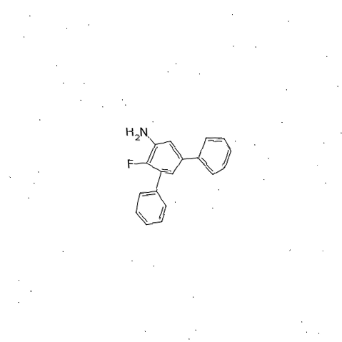 Nc1cc(-c2ccccc2)cc(-c2ccccc2)c1F